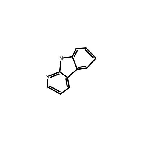 c1ccc2c(c1)[N]c1ncccc1-2